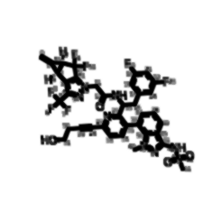 C=C1[C@@H]2c3c(C(F)(F)F)nn(CC(=O)NC(Cc4cc(F)cc(F)c4)c4nc(C#CCCO)ccc4-c4cccc5c(NS(C)(=O)=O)nn(C)c45)c3C(F)(F)[C@H]12